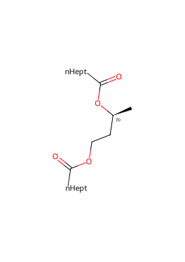 CCCCCCCC(=O)OCC[C@H](C)OC(=O)CCCCCCC